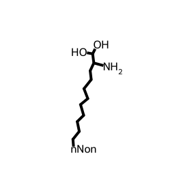 CCCCCCCCCCCCCCCCCCC(N)C(O)O